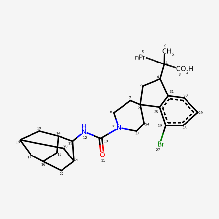 CCCC(C)(C(=O)O)C1CC2(CCN(C(=O)NC3C4CC5CC(C4)CC3C5)CC2)c2c(Br)cccc21